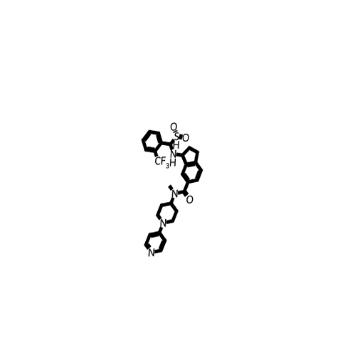 CN(C(=O)c1ccc2c(c1)C(NC(c1ccccc1C(F)(F)F)[SH](=O)=O)CC2)C1CCN(c2ccncc2)CC1